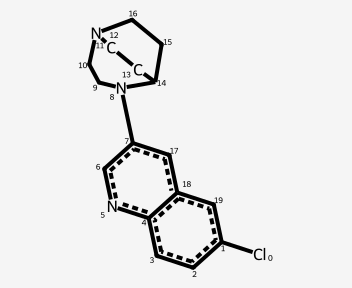 Clc1ccc2ncc(N3CCN4CCC3CC4)cc2c1